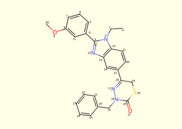 CCn1c(-c2cccc(OC)c2)nc2cc(C3=NN(Cc4ccccc4)C(=O)SC3)ccc21